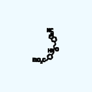 CCOC(=O)Cc1ccc(CNC(=O)CCc2ccc3c(ccn3CC#N)c2)cc1